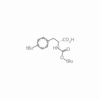 CC(C)(C)OC(=O)N[C@H](Cc1ccc(C(C)(C)C)cc1)C(=O)O